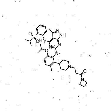 Cc1ccc(OC(C)C)c(Nc2nc(Nc3ccccc3S(=O)(=O)C(C)C)c3c(C)n[nH]c3n2)c1C1CCN(CCC(=O)N2CCC2)CC1